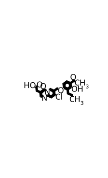 CCCc1c(OCc2cn3c(=O)c(CC(=O)O)cnc3cc2Cl)ccc(C(C)=O)c1O